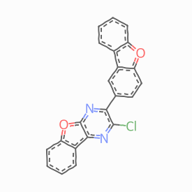 Clc1nc2c(nc1-c1ccc3oc4ccccc4c3c1)oc1ccccc12